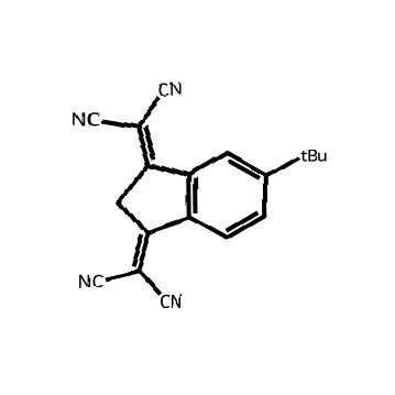 CC(C)(C)c1ccc2c(c1)C(=C(C#N)C#N)CC2=C(C#N)C#N